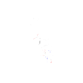 O=C1CN(Cc2ccc(C(=O)OCC3CCCC3)cc2)S(=O)(=O)N1